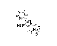 CS(=O)(=O)N1CCc2c(nn(-c3ccccn3)c2O)C1